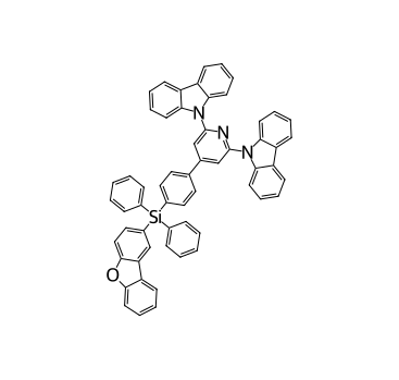 c1ccc([Si](c2ccccc2)(c2ccc(-c3cc(-n4c5ccccc5c5ccccc54)nc(-n4c5ccccc5c5ccccc54)c3)cc2)c2ccc3oc4ccccc4c3c2)cc1